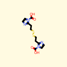 O=C(O)n1ccnc1CCSSCCc1nccn1C(=O)O